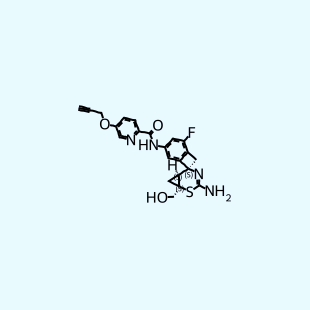 C#CCOc1ccc(C(=O)Nc2cc(F)c3c(c2)[C@@]2(C3)N=C(N)S[C@@]3(CO)C[C@H]32)nc1